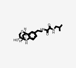 CC(C)CNC(=O)C(=O)NCCc1ccc2c(c1)[C@H]1C[C@H](N2)[C@H](O)CO1